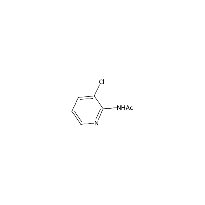 CC(=O)Nc1ncccc1Cl